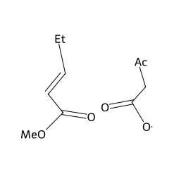 CC(=O)CC([O])=O.CCC=CC(=O)OC